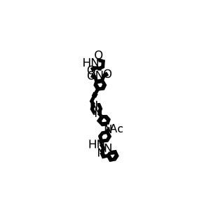 CC(=O)N(c1ccc(N2CCN(CC#Cc3ccc4c(c3)C(=O)N(C3CCC(=O)NC3=O)C4=O)CC2)cc1)C1CCC(Nc2ncc3ccccc3n2)CC1